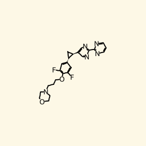 Fc1cc([C@@H]2C[C@H]2c2cnc(-c3ncccn3)nc2)cc(F)c1OCCCN1CCOCC1